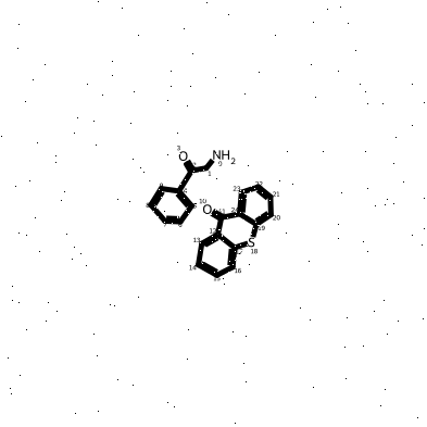 NCC(=O)c1ccccc1.O=c1c2ccccc2sc2ccccc12